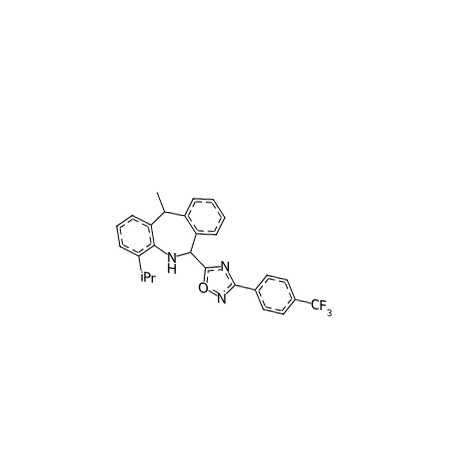 CC(C)c1cccc2c1NC(c1nc(-c3ccc(C(F)(F)F)cc3)no1)c1ccccc1C2C